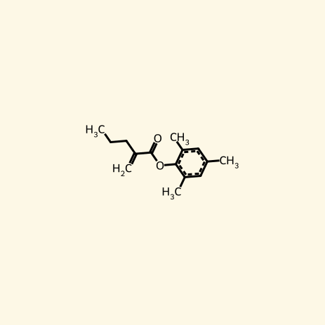 C=C(CCC)C(=O)Oc1c(C)cc(C)cc1C